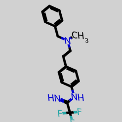 CN(CCc1ccc(NC(=N)C(F)(F)F)cc1)Cc1ccccc1